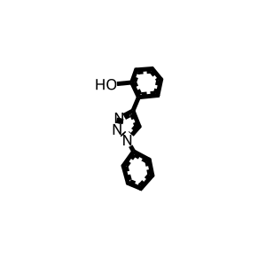 Oc1ccccc1-c1cn(-c2ccccc2)nn1